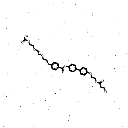 CCC(C)C(=O)OCCOCCOCCOc1ccc(C(=O)Oc2ccc(-c3ccc(OCCOC(=O)CCCl)cc3)cc2)cc1